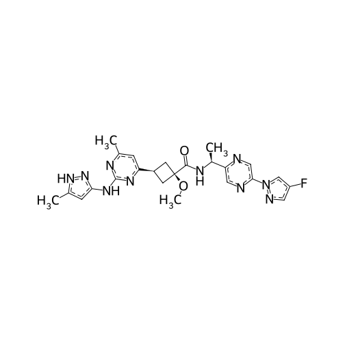 CO[C@]1(C(=O)N[C@@H](C)c2cnc(-n3cc(F)cn3)cn2)C[C@H](c2cc(C)nc(Nc3cc(C)[nH]n3)n2)C1